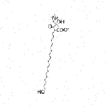 C[N+](C)(C)CC(O)(CC(=O)[O-])C(=O)CCCCCCCCCCCCCCCCCCCO